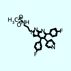 CS(=O)(=O)NCCCn1cc2c(-c3ccc(F)cc3)c(-c3ccncc3)c(-c3ccc(F)cc3)nc2n1